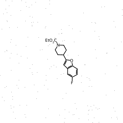 CCOC(=O)N1CCC(c2cc3cc(F)ccc3o2)CC1